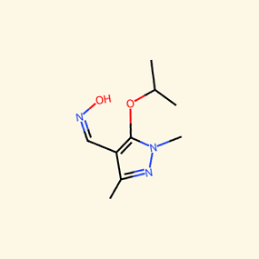 Cc1nn(C)c(OC(C)C)c1/C=N\O